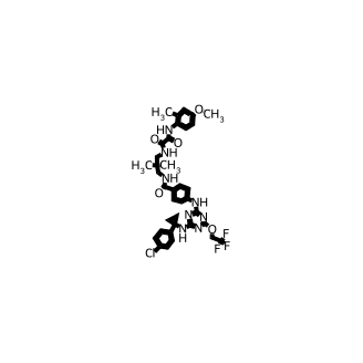 COc1ccc(NC(=O)C(=O)NCC(C)(C)CNC(=O)c2ccc(Nc3nc(NC4(c5ccc(Cl)cc5)CC4)nc(OCC(F)(F)F)n3)cc2)c(C)c1